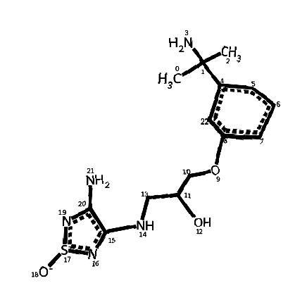 CC(C)(N)c1cccc(OCC(O)CNc2n[s+]([O-])nc2N)c1